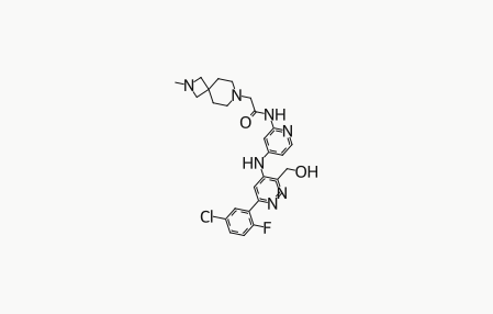 CN1CC2(CCN(CC(=O)Nc3cc(Nc4cc(-c5cc(Cl)ccc5F)nnc4CO)ccn3)CC2)C1